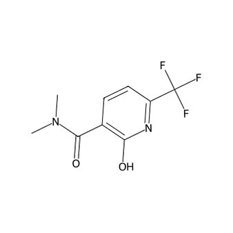 CN(C)C(=O)c1ccc(C(F)(F)F)nc1O